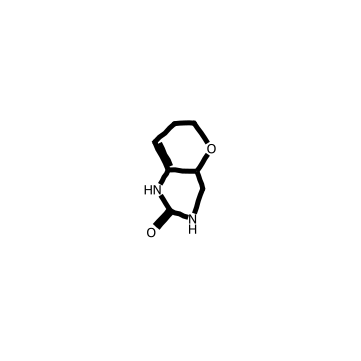 O=C1NCC2OCCC=C2N1